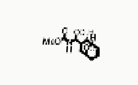 COC(=O)NC(C(=O)O)C1CC2CC=C[C@H](C1)O2